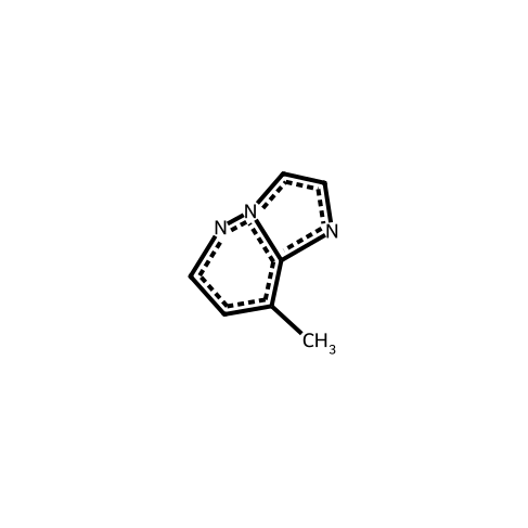 Cc1ccnn2ccnc12